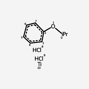 CC(C)Oc1ccccc1.Cl.Cl.[Ti]